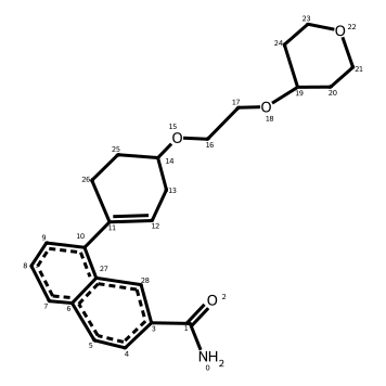 NC(=O)c1ccc2cccc(C3=CCC(OCCOC4CCOCC4)CC3)c2c1